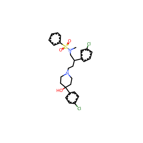 CN(CC(CCN1CCC(O)(c2ccc(Cl)cc2)CC1)c1cccc(Cl)c1)S(=O)(=O)c1ccccc1